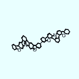 c1ccc2c(c1)oc1cc3c(cc12)c1cccc2c4cc5c(cc4n3c12)oc1ccc(-c2ccc3c(c2)oc2c3ccc3c2c2cccc4c6c7oc8ccccc8c7ccc6n3c42)cc15